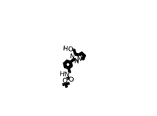 CC(C)(C)OC(=O)NCc1cccc(-c2nc(CO)c3cccn3n2)c1